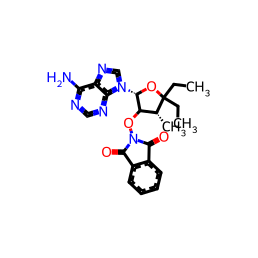 CCC1(CC)O[C@@H](n2cnc3c(N)ncnc32)C(ON2C(=O)c3ccccc3C2=O)[C@H]1C